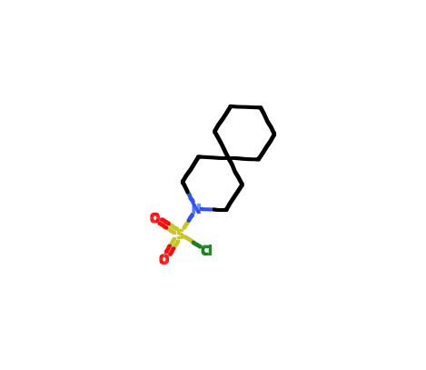 O=S(=O)(Cl)N1CCC2(CCCCC2)CC1